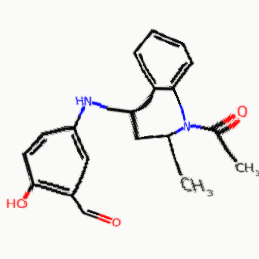 CC(=O)N1c2ccccc2C(Nc2ccc(O)c(C=O)c2)CC1C